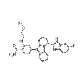 CCOCCNc1cc(-n2c3ccccc3c3c(-c4nc5ccc(F)cc5[nH]4)cccc32)ccc1C(N)=O